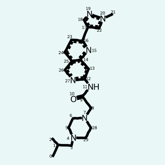 CC(C)CN1CCN(CC(=O)Nc2cc3nc(-c4cnn(C)c4)ccc3cn2)CC1